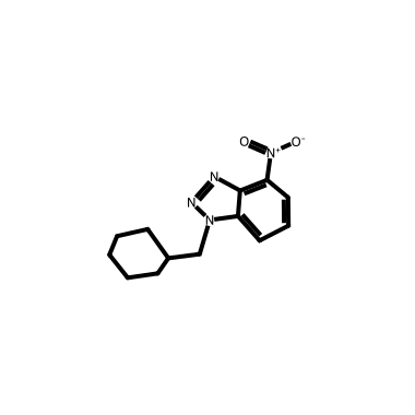 O=[N+]([O-])c1cccc2c1nnn2CC1CCCCC1